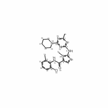 Cc1nc(Nc2ncc(C(=O)Nc3c(C)cccc3Cl)n2C)nc(N2CCCCC2)n1